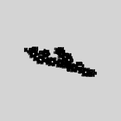 Cc1ccccc1[C@@H]1CN(CC2CCC(C)(O)CC2)CCN1C1CC2(CCN(c3ccc(C(=O)NS(=O)(=O)c4ccc(NCC5CCC(C)(O)CC5)c([N+](=O)[O-])c4)c(N4c5cc6cc[nH]c6nc5O[C@H]5COCC[C@@H]54)c3)CC2)C1